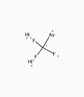 FC(F)(F)[As].I.I